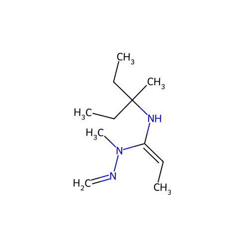 C=NN(C)/C(=C\C)NC(C)(CC)CC